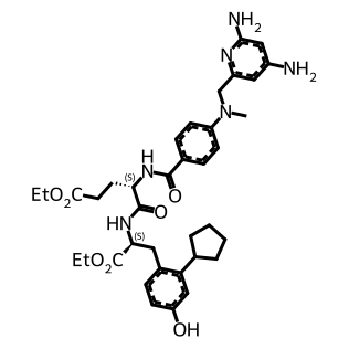 CCOC(=O)CC[C@H](NC(=O)c1ccc(N(C)Cc2cc(N)cc(N)n2)cc1)C(=O)N[C@@H](Cc1ccc(O)cc1C1CCCC1)C(=O)OCC